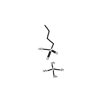 CCCCS(=O)(=O)O.CCC[N+](CCC)(CCC)CCC